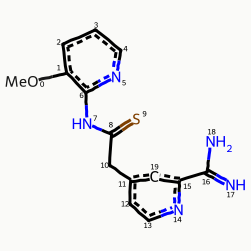 COc1cccnc1NC(=S)Cc1ccnc(C(=N)N)c1